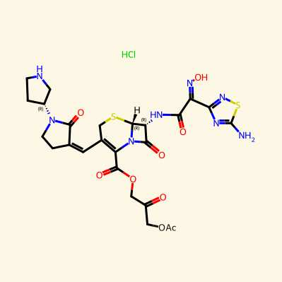 CC(=O)OCC(=O)COC(=O)C1=C(C=C2CCN([C@@H]3CCNC3)C2=O)CS[C@@H]2[C@H](NC(=O)C(=NO)c3nsc(N)n3)C(=O)N12.Cl